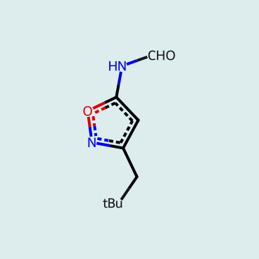 CC(C)(C)Cc1cc(NC=O)on1